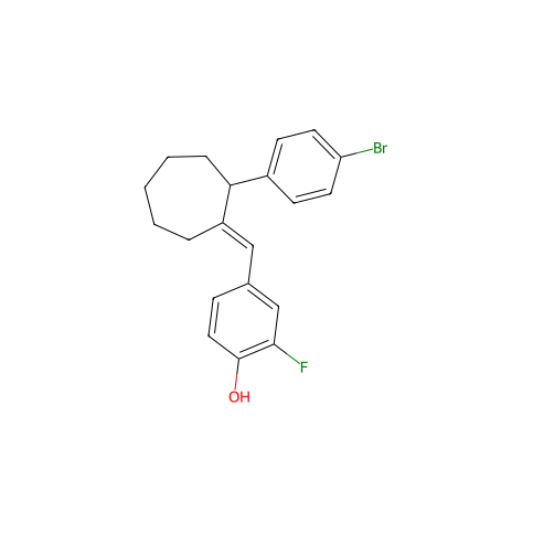 Oc1ccc(C=C2CCCCCC2c2ccc(Br)cc2)cc1F